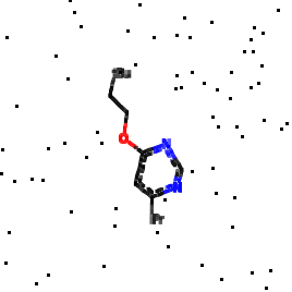 CC(C)c1cc(OCCC(C)(C)C)ncn1